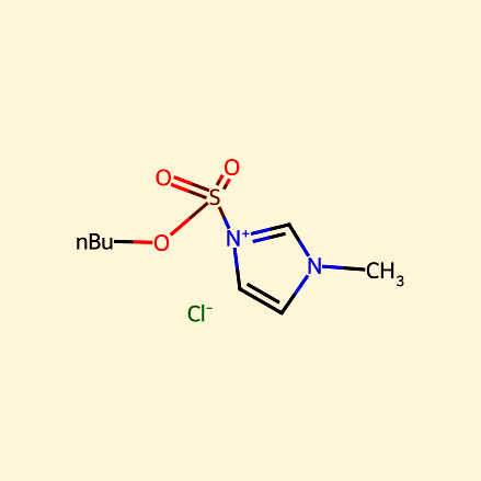 CCCCOS(=O)(=O)[n+]1ccn(C)c1.[Cl-]